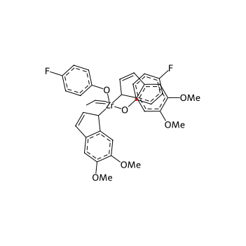 C[CH]=[Zr]([O]c1ccc(F)cc1)([O]c1ccc(F)cc1)([CH]1C=Cc2cc(OC)c(OC)cc21)[CH]1C=Cc2cc(OC)c(OC)cc21